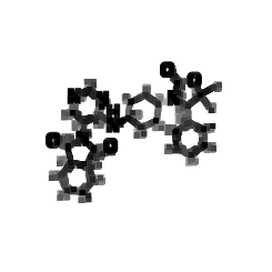 CC1(C)OC(=O)N([C@H]2CC[C@H](Nc3ncncc3N3C(=O)c4ccccc4C3=O)CC2)C1c1ccccc1